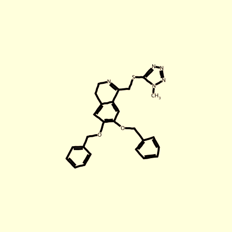 Cn1nnnc1SCC1=NCCc2cc(OCc3ccccc3)c(OCc3ccccc3)cc21